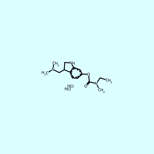 CCN(C)C(=O)Oc1ccc2c(c1)NCC2CN(C)C.Cl.Cl